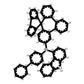 c1ccc(-c2ccc(N(c3ccc4c(c3)-c3ccccc3-c3ccccc3C43c4ccccc4-c4ccccc43)c3cccc4oc5ccccc5c34)cc2)cc1